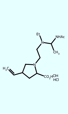 C=CC1CC(C(=O)O)N(CCN(CC)C(C)NC(C)=O)C1.Cl.Cl